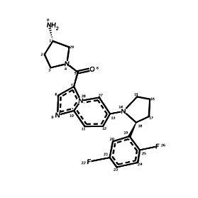 N[C@H]1CCN(C(=O)c2cnc3ccc(N4CCC[C@H]4c4cc(F)ccc4F)cn23)C1